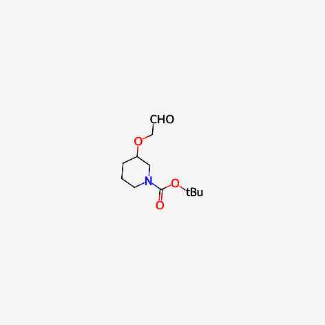 CC(C)(C)OC(=O)N1CCCC(OCC=O)C1